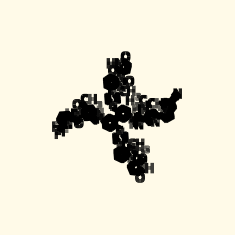 CC(=O)c1cc2nn([C@H]3CC[C@H](CN4CCN(c5cccc6c5n(C)c(=O)n6C5CCC(=O)NC5=O)CC4)C(C4C[C@@H](n5cc(-c6cnc(-c7ccc8cc(C#N)cnn78)cc6NC(C)C)nn5)CC[C@@H]4CN4CCN(c5cccc6c5n(C)c(=O)n6C5CCC(=O)NC5=O)CC4)C3)cc2cc1NC(=O)c1cccc(C(F)(F)F)n1